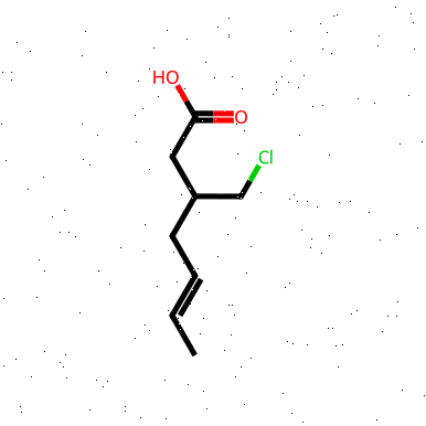 CC=CCC(CCl)CC(=O)O